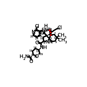 CC1(C)CCC2(CC1)NC(C(=O)N[C@@H]1CC[C@@H](C(N)=O)OC1)[C@H](c1ccnc(Cl)c1F)[C@]21C(=O)Nc2cc(Cl)ccc21